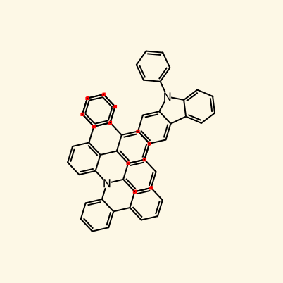 c1ccc(-c2ccccc2-c2c(-c3ccccc3)cccc2N(c2cccc(-c3ccc4c(c3)c3ccccc3n4-c3ccccc3)c2)c2ccccc2-c2ccccc2)cc1